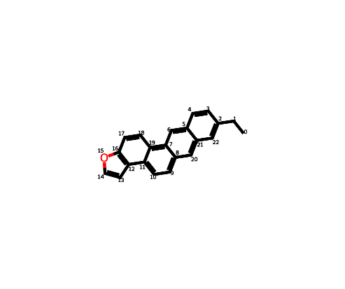 CCc1ccc2cc3c(ccc4c5ccoc5ccc34)cc2c1